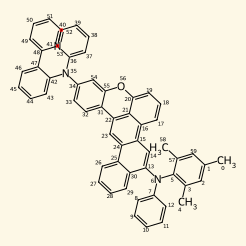 Cc1cc(C)c(N(c2ccccc2)c2cc3c4cccc5c4c(cc3c3ccccc23)-c2ccc(N(c3ccccn3)c3ccccc3-c3ccccc3)cc2O5)c(C)c1